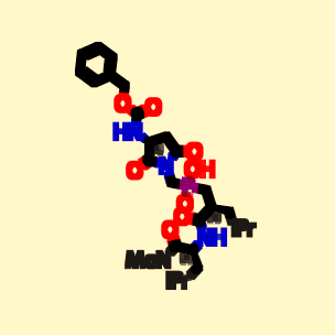 CNC(=O)[C@H](CC(C)C)NC(=O)[C@H](CC(C)C)CP(=O)(O)CN1C(=O)C[C@H](NC(=O)OCc2ccccc2)C1=O